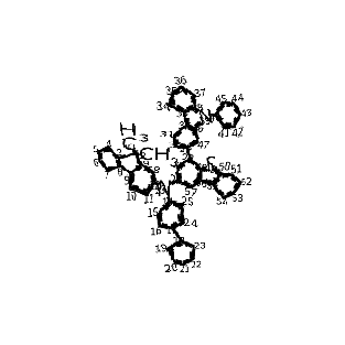 CC1(C)c2ccccc2-c2ccc(N(c3ccc(-c4ccccc4)cc3)c3cc(-c4ccc5c6ccccc6n(-c6ccccc6)c5c4)c4sc5ccccc5c4c3)cc21